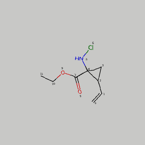 C=CC1CC1(NCl)C(=O)OCC